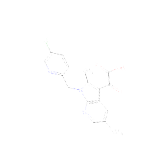 Cc1cnc2c(c1)c(C(=O)C(=O)O)c(C)n2Cc1ccc(Cl)cn1